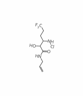 C=CCNC(=O)C(O)C(CCC(F)(F)F)NCl